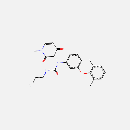 Cc1cccc(C)c1Oc1cccc(N(C(=O)NCCC(=O)O)[C@H]2C(=O)C=CN(C)C2=O)c1